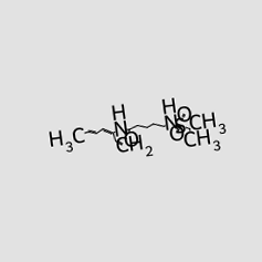 C=C/C(=C\C=C\C)NC(=O)CCCCNS(=O)(=O)C(C)C